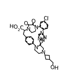 O=C(O)C(Cc1ccc(N2CCN(C3CC(CO)C3)CC2=O)cc1)N1CCN(c2cc(Cl)ccc2-n2cnnn2)C(=O)C1=O